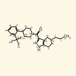 CCCN1CCc2[nH]nc(C(=O)N3CCC(c4ccccc4C(F)(F)F)CC3)c2C1